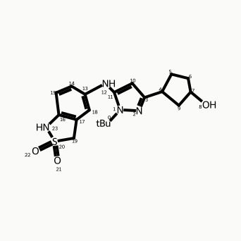 CC(C)(C)n1nc(C2CCC(O)C2)cc1Nc1ccc2c(c1)CS(=O)(=O)N2